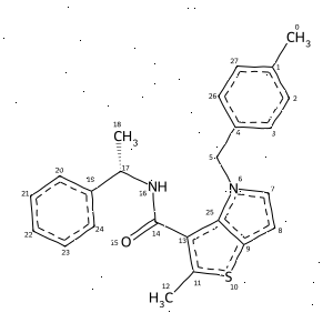 Cc1ccc(Cn2ccc3sc(C)c(C(=O)N[C@@H](C)c4ccccc4)c32)cc1